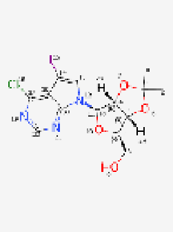 CC1(C)O[C@@H]2[C@H](O1)[C@@H](CO)O[C@H]2n1cc(I)c2c(Cl)ncnc21